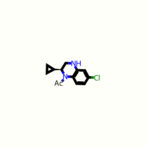 CC(=O)N1c2ccc(Cl)cc2NC[C@@H]1C1CC1